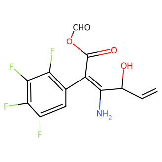 C=CC(O)C(N)=C(C(=O)OC=O)c1cc(F)c(F)c(F)c1F